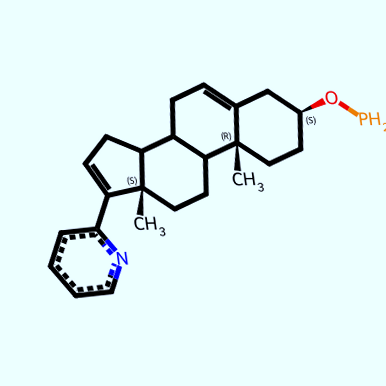 C[C@]12CC[C@H](OP)CC1=CCC1C2CC[C@]2(C)C(c3ccccn3)=CCC12